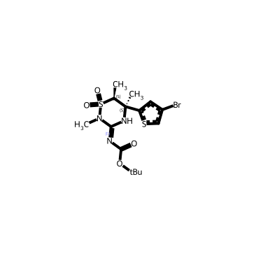 C[C@H]1[C@@](C)(c2cc(Br)cs2)N/C(=N\C(=O)OC(C)(C)C)N(C)S1(=O)=O